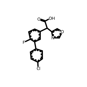 O=C(O)C(c1ccc(F)c(-c2ccc(Cl)cc2)c1)c1cocn1